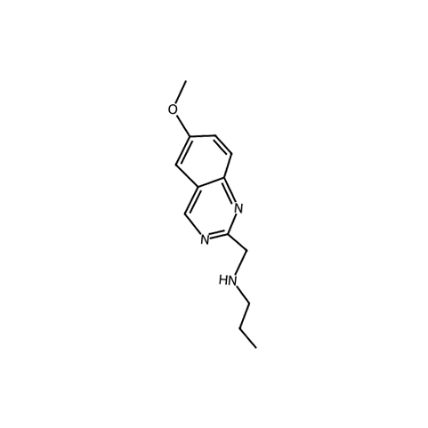 CCCNCc1ncc2cc(OC)ccc2n1